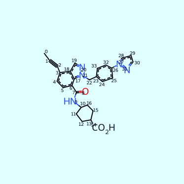 CC#Cc1ccc(C(=O)NC2CCC(C(=O)O)CC2)c2c1cnn2Cc1ccc(-n2cccn2)cc1